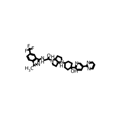 Cn1nc(NCC(=O)N2CC[C@@H]3[C@H]2CCN3C2CCC(O)(c3ccc(-c4ncccn4)cn3)CC2)c2cc(C(F)(F)F)ccc21